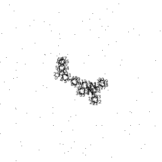 CC1(C)c2ccc(-c3ccc(-c4ccc(-c5nc(-c6ccccc6)cc(-c6ccccc6)n5)c5ccccc45)cc3)cc2-c2cc3ccccc3cc21